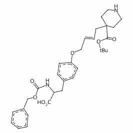 CC(C)(C)OC(=O)C1(CC=CCOc2ccc(CC(NC(=O)OCc3ccccc3)C(=O)O)cc2)CCNCC1